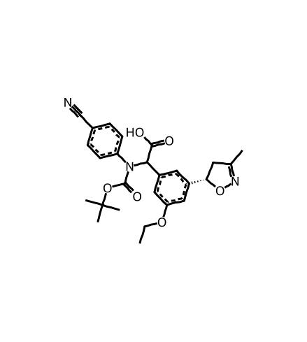 CCOc1cc(C(C(=O)O)N(C(=O)OC(C)(C)C)c2ccc(C#N)cc2)cc([C@@H]2CC(C)=NO2)c1